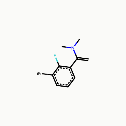 C=C(c1cccc(C(C)C)c1F)N(C)C